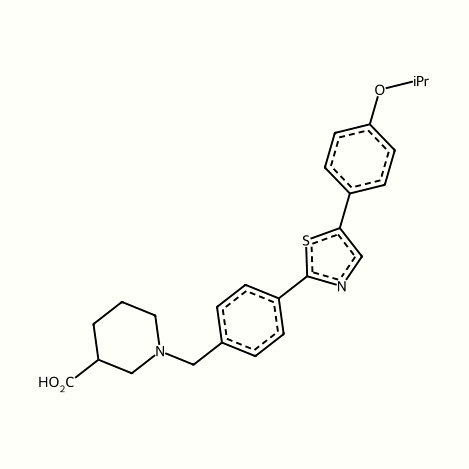 CC(C)Oc1ccc(-c2cnc(-c3ccc(CN4CCCC(C(=O)O)C4)cc3)s2)cc1